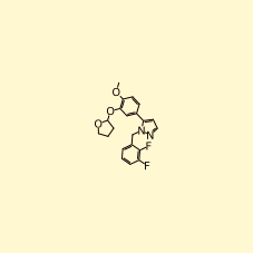 COc1ccc(-c2ccnn2Cc2cccc(F)c2F)cc1OC1CCCO1